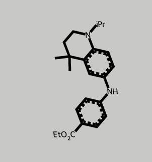 CCOC(=O)c1ccc(Nc2ccc3c(c2)C(C)(C)CCN3C(C)C)cc1